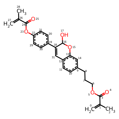 C=C(C)C(=O)OCCCc1ccc2c(c1)OC(O)C(c1ccc(OC(=O)C(=C)C)cc1)=C2